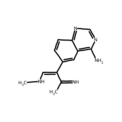 CN/C=C(\C(C)=N)c1ccc2ncnc(N)c2c1